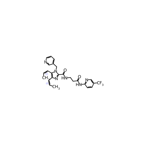 C/C=C\c1nc(C(=O)NCCC(=O)Nc2ccc(C(F)(F)F)cn2)n(Cc2cccnc2)c1/C=C\C